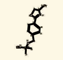 CC(C)C1COC(c2ccc(CO[Si](C)(C)C(C)(C)C)cc2)=N1